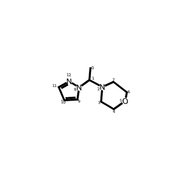 CC(N1CCOCC1)n1c[c]cn1